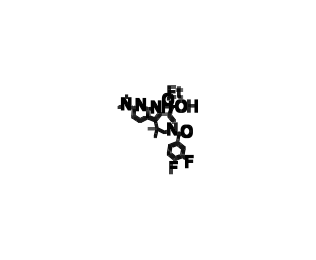 CCOC(O)C1=CN(C(=O)c2ccc(F)c(F)c2)CC(C)(C)c2c1[nH]c1nc(N(C)C)ccc21